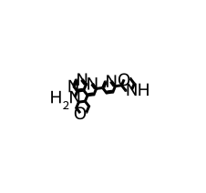 Nc1ncnc2nc(-c3ccc(C4CNCCO4)nc3)cc(C3CCOCC3)c12